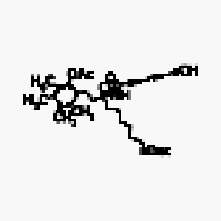 C#CC#CC#CC(=O)NC(C)(CCCCCCCCCCCCCCCC)CCc1c(C)c(C)c(C)c(C)c1OC(C)=O